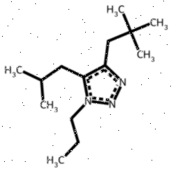 CCCn1nnc(CC(C)(C)C)c1CC(C)C